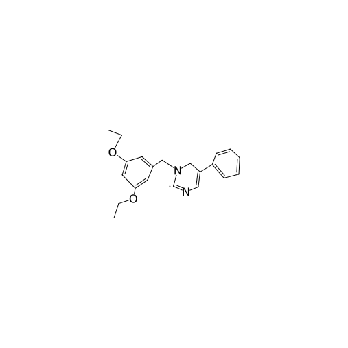 CCOc1cc(CN2[C]=NC=C(c3ccccc3)C2)cc(OCC)c1